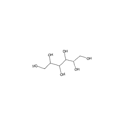 OC[C](O)C(O)C(O)C(O)CO